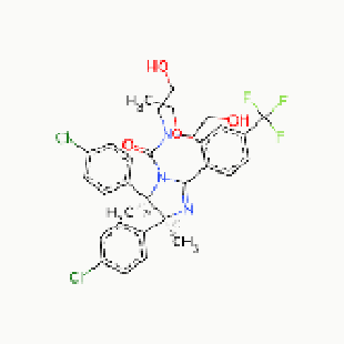 CCOc1cc(C(F)(F)F)ccc1C1=N[C@@](C)(c2ccc(Cl)cc2)[C@@](C)(c2ccc(Cl)cc2)N1C(=O)N(CCO)CCO